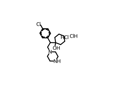 Cl.Cl.OC1(C(CN2CCNCC2)c2ccc(Cl)cc2)CCCCC1